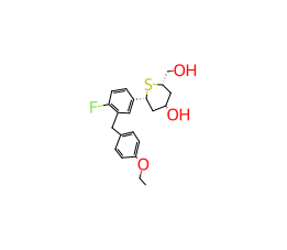 CCOc1ccc(Cc2cc([C@H]3C[C@@H](O)C[C@@H](CO)S3)ccc2F)cc1